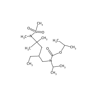 CCC(CN(C(=O)OC(C)C)C(C)C)CC(C)(C)N(C)S(C)(=O)=O